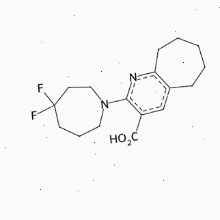 O=C(O)c1cc2c(nc1N1CCCC(F)(F)CC1)CCCCC2